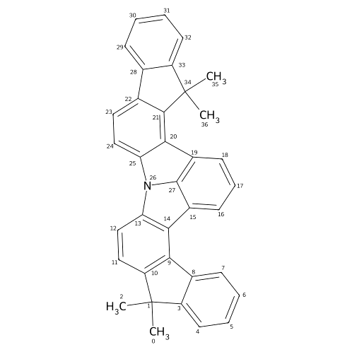 CC1(C)c2ccccc2-c2c1ccc1c2c2cccc3c4c5c(ccc4n1c23)-c1ccccc1C5(C)C